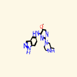 COc1cnc(N2CCNC(C)C2)nc1Nc1ccc2[nH]ncc2c1